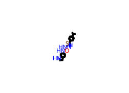 CC(C)c1ccc(-c2nnc(NC(=O)Nc3ccc4cc[nH]c4c3)s2)cc1